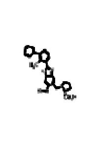 CCOc1cc2oc(-c3cccc(-c4ccccc4)c3C)nc2cc1CN1CCC[C@H]1C(=O)O